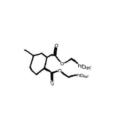 CCCCCCCCCCCOC(=O)C1CCC(C)CC1C(=O)OCCCCCCCCCCC